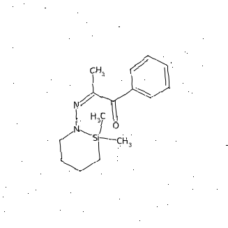 CC(=NN1CCCC[Si]1(C)C)C(=O)c1ccccc1